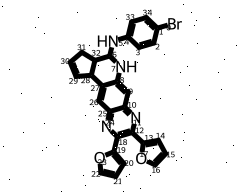 Brc1ccc(NC2Nc3cc4nc(-c5ccco5)c(-c5ccco5)nc4cc3C3C=CCC23)cc1